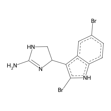 NC1=NC(c2c(Br)[nH]c3ccc(Br)cc23)CN1